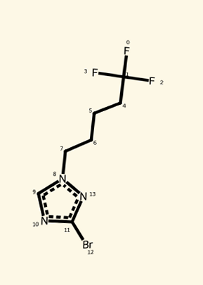 FC(F)(F)CCCCn1cnc(Br)n1